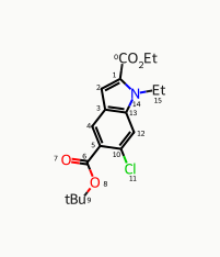 CCOC(=O)c1cc2cc(C(=O)OC(C)(C)C)c(Cl)cc2n1CC